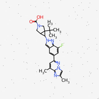 Cc1cn2nc(-c3cc(F)c4nn(C5C6CN(C(=O)O)CC65C(C)(C)C)cc4c3)cc(C)c2n1